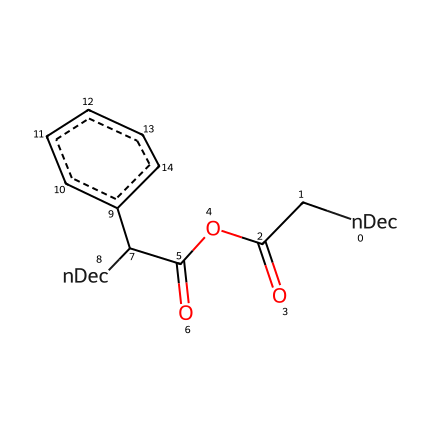 CCCCCCCCCCCC(=O)OC(=O)C(CCCCCCCCCC)c1ccccc1